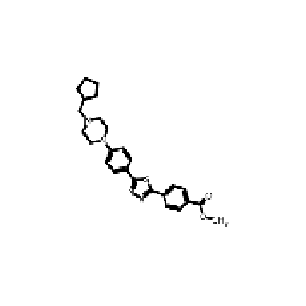 COC(=O)c1ccc(-c2nnc(-c3ccc(N4CCN(CC5CCCC5)CC4)cc3)s2)cc1